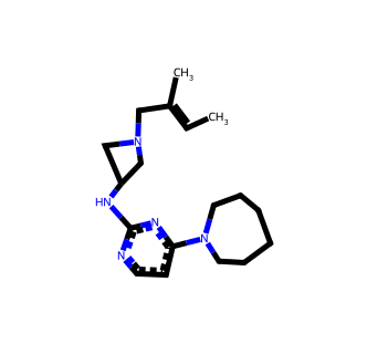 CC=C(C)CN1CC(Nc2nccc(N3CCCCCC3)n2)C1